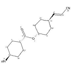 CCC[C@H]1CC[C@H](C(=O)O[C@H]2CC[C@H](C=CC#N)CC2)CC1